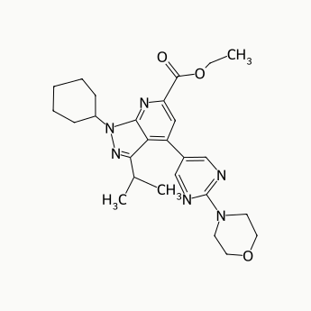 CCOC(=O)c1cc(-c2cnc(N3CCOCC3)nc2)c2c(C(C)C)nn(C3CCCCC3)c2n1